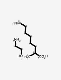 CCCCCCCCCCCCCCC(C)C(=O)O.NCCO